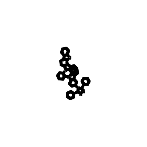 c1ccc(-c2nnc(-c3ccccc3)n2-c2ccc3c(c2)c2ccccc2n3-c2ccccc2-n2c3ccccc3c3c4oc5ccccc5c4ccc32)cc1